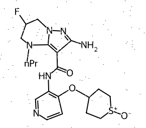 CCCN1CC(F)Cn2nc(N)c(C(=O)Nc3cnccc3OC3CC[S+]([O-])CC3)c21